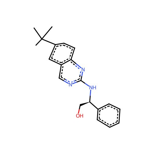 CC(C)(C)c1ccc2nc(N[C@H](CO)c3ccccc3)ncc2c1